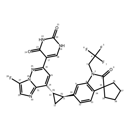 O=C1N(CC(F)(F)F)c2cc([C@H]3C[C@@H]3c3cc(-c4c[nH]c(=O)[nH]c4=O)nn4c(F)cnc34)ccc2C12CCCC2